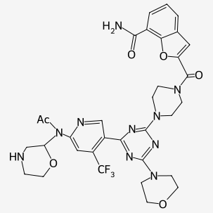 CC(=O)N(c1cc(C(F)(F)F)c(-c2nc(N3CCOCC3)nc(N3CCN(C(=O)c4cc5cccc(C(N)=O)c5o4)CC3)n2)cn1)C1CNCCO1